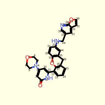 O=c1cc(N2CCOCC2)cc(-c2cccc3c2Oc2ccc(NCc4cnc5occc5c4)cc2C3)[nH]1